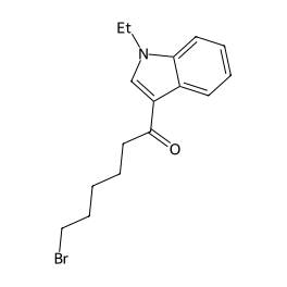 CCn1cc(C(=O)CCCCCBr)c2ccccc21